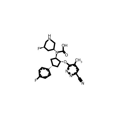 Cc1cc(C#N)nnc1O[C@@H]1C[C@H](c2ccc(F)cc2)C[C@H]1N(C(=O)O)[C@H]1CNC[C@H](F)C1